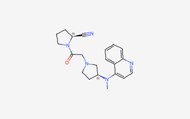 CN(c1ccnc2ccccc12)[C@H]1CCN(CC(=O)N2CCC[C@H]2C#N)C1